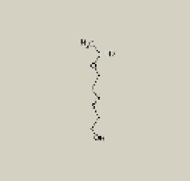 CC(=O)OCCSSCCO